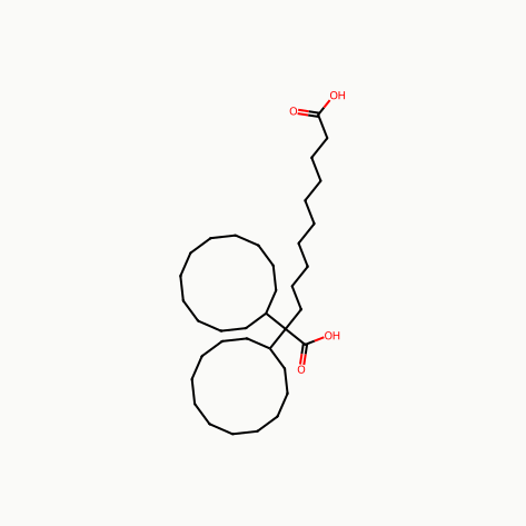 O=C(O)CCCCCCCCCC(C(=O)O)(C1CCCCCCCCCCC1)C1CCCCCCCCCCC1